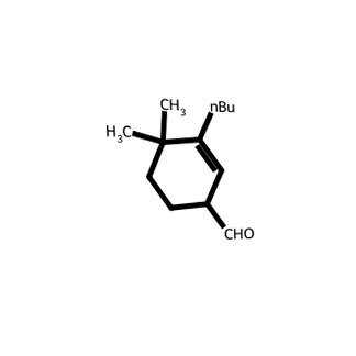 CCCCC1=CC(C=O)CCC1(C)C